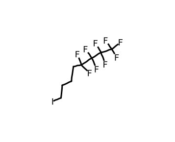 FC(F)(F)C(F)(F)C(F)(F)C(F)(F)CCCCI